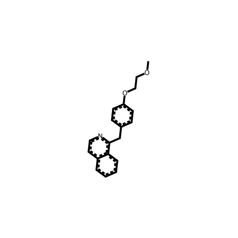 COCCOc1ccc(Cc2nccc3ccccc23)cc1